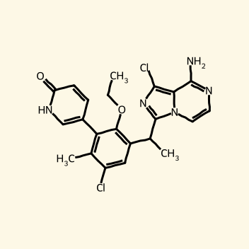 CCOc1c(C(C)c2nc(Cl)c3c(N)nccn23)cc(Cl)c(C)c1-c1ccc(=O)[nH]c1